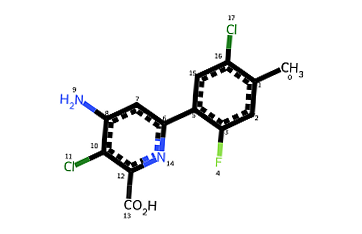 Cc1cc(F)c(-c2cc(N)c(Cl)c(C(=O)O)n2)cc1Cl